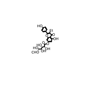 CCc1c(-c2ccc(O)cc2)oc2cc(OC(=O)[C@@H](O)[C@@H](O)[C@H](O)[C@@H](O)C=O)cc(O)c2c1=O